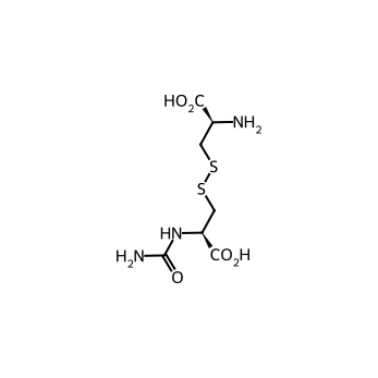 NC(=O)N[C@@H](CSSC[C@H](N)C(=O)O)C(=O)O